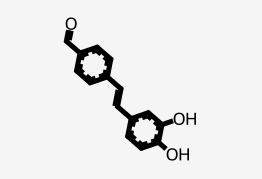 O=Cc1ccc(/C=C/c2ccc(O)c(O)c2)cc1